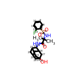 CC(C)(NS(=O)(=O)c1ccccc1F)C(=O)NC1C2CC3CC1CC(O)(C3)C2